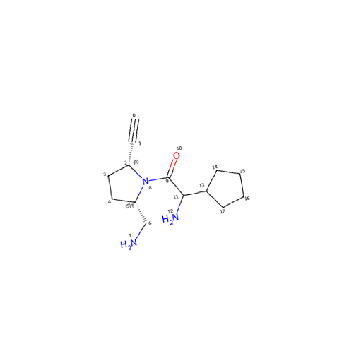 C#C[C@H]1CC[C@@H](CN)N1C(=O)C(N)C1CCCC1